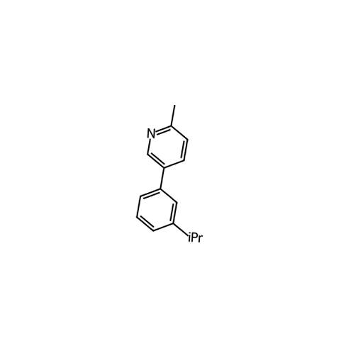 Cc1ccc(-c2cccc(C(C)C)c2)cn1